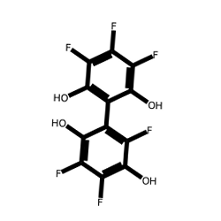 Oc1c(F)c(F)c(O)c(-c2c(O)c(F)c(F)c(F)c2O)c1F